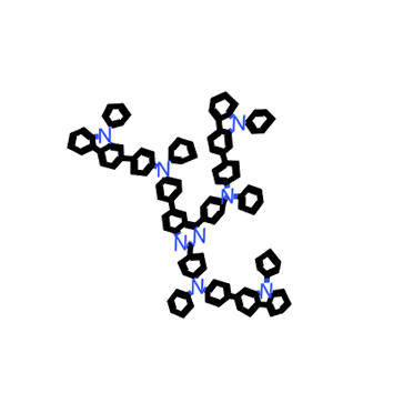 c1ccc(N(c2ccc(-c3ccc4nc(-c5ccc(N(c6ccccc6)c6ccc(-c7ccc8c9ccccc9n(-c9ccccc9)c8c7)cc6)cc5)nc(-c5ccc(N(c6ccccc6)c6ccc(-c7ccc8c9ccccc9n(-c9ccccc9)c8c7)cc6)cc5)c4c3)cc2)c2ccc(-c3ccc4c5ccccc5n(-c5ccccc5)c4c3)cc2)cc1